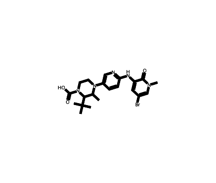 CC1C(C(C)(C)C)N(C(=O)O)CCN1c1ccc(Nc2cc(Br)cn(C)c2=O)nc1